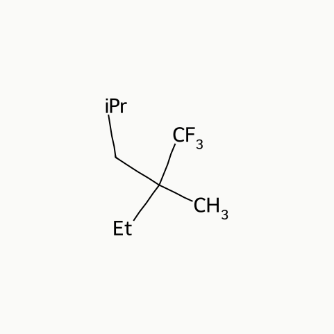 CCC(C)(CC(C)C)C(F)(F)F